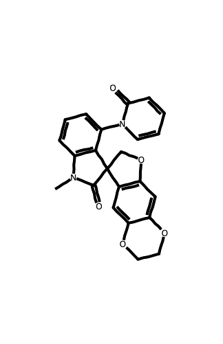 CN1C(=O)C2(COc3cc4c(cc32)OCCO4)c2c1cccc2-n1ccccc1=O